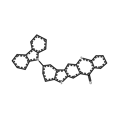 O=c1c2ccccc2sc2cc3c(cc12)sc1ccc(-n2c4ccccc4c4ccccc42)cc13